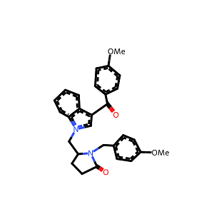 COc1ccc(CN2C(=O)CCC2Cn2cc(C(=O)c3ccc(OC)cc3)c3ccccc32)cc1